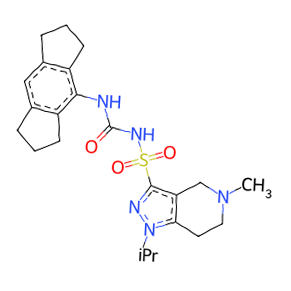 CC(C)n1nc(S(=O)(=O)NC(=O)Nc2c3c(cc4c2CCC4)CCC3)c2c1CCN(C)C2